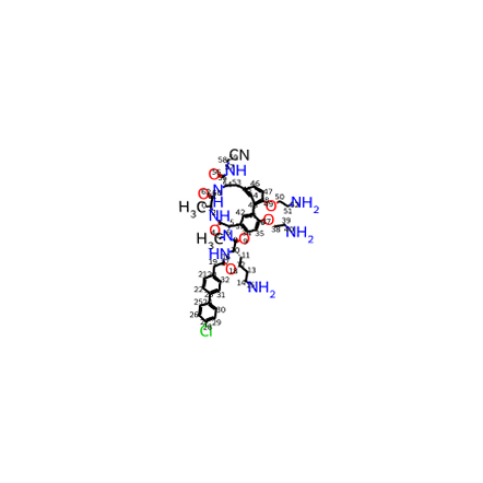 C[C@@H]1NC(=O)[C@@H](N(C)C(=O)[C@H](CCCCN)NC(=O)Cc2ccc(-c3ccc(Cl)cc3)cc2)c2ccc(OCCN)c(c2)-c2cc(ccc2OCCN)C[C@@H](C(=O)NCC#N)NC1=O